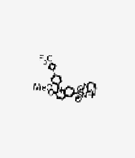 COc1cc([C@H]2C[C@H](C(F)(F)F)C2)ccc1-n1c(=O)ccc2cc(S(=O)(=O)Nc3ncccn3)ccc21